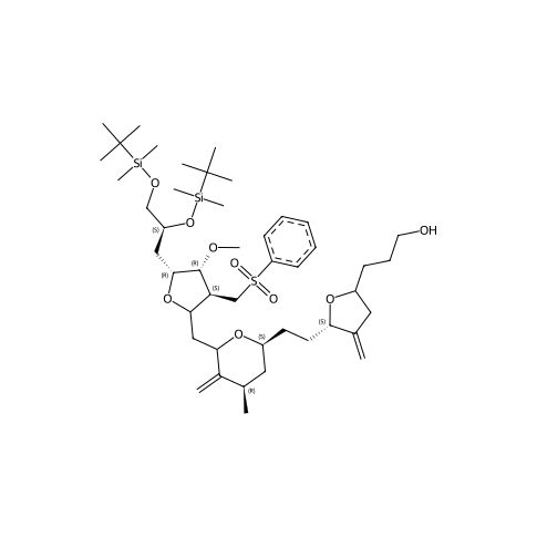 C=C1C(CC2O[C@H](C[C@@H](CO[Si](C)(C)C(C)(C)C)O[Si](C)(C)C(C)(C)C)[C@H](OC)[C@H]2CS(=O)(=O)c2ccccc2)O[C@@H](CC[C@@H]2OC(CCCO)CC2=C)C[C@H]1C